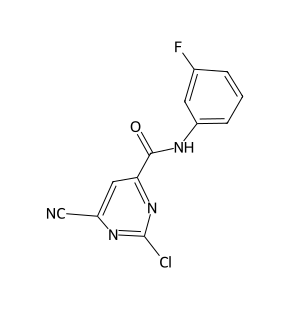 N#Cc1cc(C(=O)Nc2cccc(F)c2)nc(Cl)n1